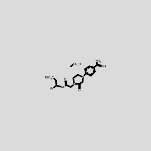 CC(=O)O.CCOC(=O)CC(NC(=O)CN1CCN(c2ccc(C(=N)N)cc2)CC1=O)C(C)C